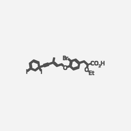 CCO[C@@H](Cc1ccc(OC/C=C(\C)C#CC2(I)C=CC=C(I)C2)c(Br)c1)C(=O)O